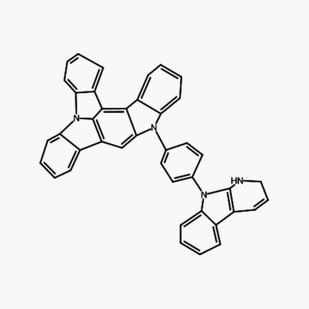 C1=Cc2c(n(-c3ccc(-n4c5ccccc5c5c6c7ccccc7n7c8ccccc8c(cc54)c67)cc3)c3ccccc23)NC1